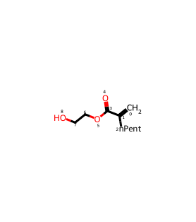 C=C(CCCCC)C(=O)OCCO